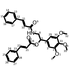 COc1cc(C(CNC(=O)C=Cc2ccccc2)OC(=O)C=Cc2ccccc2)cc(OC)c1OC